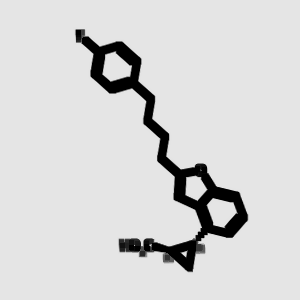 O=C(O)[C@@H]1C[C@H]1c1cccc2oc(CCCCc3ccc(F)cc3)cc12